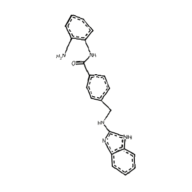 Nc1ccccc1NC(=O)c1ccc(CNc2nc3ccccc3[nH]2)cc1